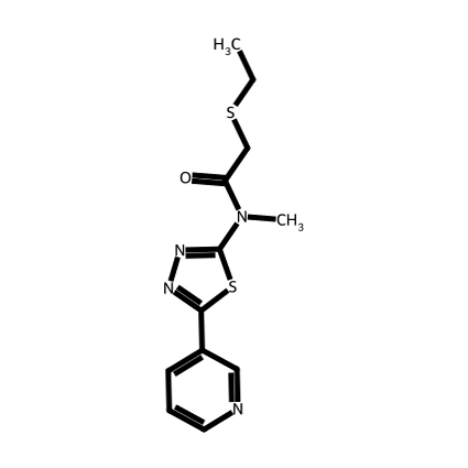 CCSCC(=O)N(C)c1nnc(-c2cccnc2)s1